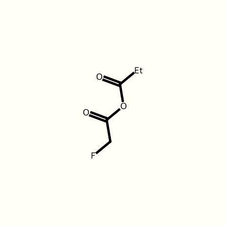 CCC(=O)OC(=O)CF